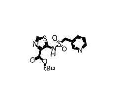 CC(C)(C)OC(=O)c1ncsc1NS(=O)(=O)Cc1cccnc1